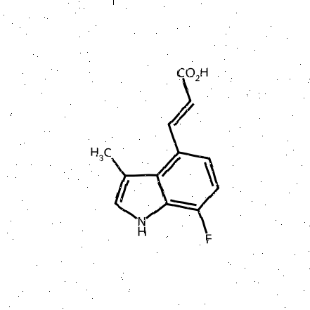 Cc1c[nH]c2c(F)ccc(/C=C/C(=O)O)c12